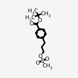 CC(C)(C)OC(=O)c1ccc(CCCOS(C)(=O)=O)cc1